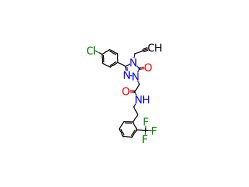 C#CCn1c(-c2ccc(Cl)cc2)nn(CC(=O)NCCc2ccccc2C(F)(F)F)c1=O